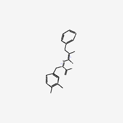 C=C(C)/C(Cc1ccc(C)c(C)c1)=N\C(C)=C(\C)Cc1ccccc1